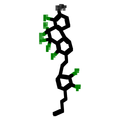 C=CCCc1ccc(CCc2ccc3c(c2F)C(F)(F)C(F)(F)c2c-3ccc(CCC)c2F)c(F)c1F